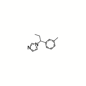 CCC(c1cccc(C)c1)n1ccnc1